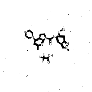 CCOc1cc2nn(C)cc2cc1NC(=O)N1CCc2c(N3CCNCC3)cc(C)nc21.O=C(O)C(F)(F)F